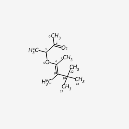 CC(=O)C(C)O/C(C)=C(\C)C(C)(C)C